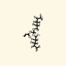 C=CC(=O)OC(C)(OC(F)C(F)(F)C(F)(F)C(F)C(F)F)OC(F)C(F)(F)C(F)(F)C(F)C(F)F